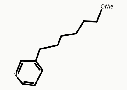 [CH2]OCCCCCCc1cccnc1